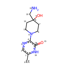 CCc1cnc(N2CCC(O)(CN)CC2)c(=O)[nH]1